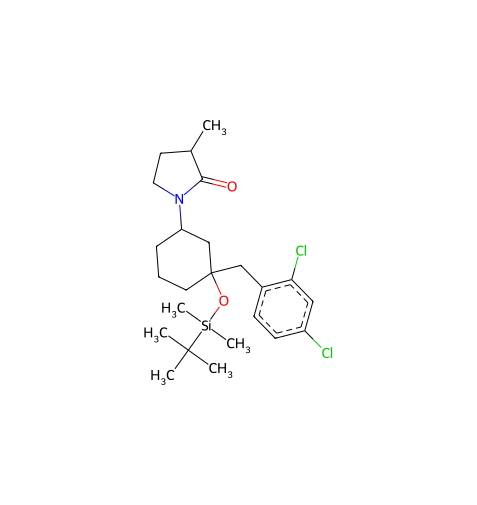 CC1CCN(C2CCCC(Cc3ccc(Cl)cc3Cl)(O[Si](C)(C)C(C)(C)C)C2)C1=O